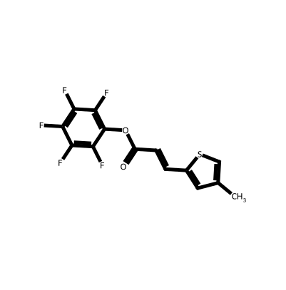 Cc1csc(/C=C/C(=O)Oc2c(F)c(F)c(F)c(F)c2F)c1